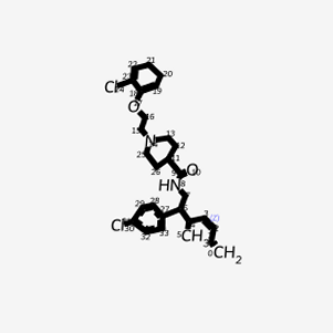 C=C/C=C\C(C)C(CNC(=O)C1CCN(CCOC2=CCCC=C2Cl)CC1)c1ccc(Cl)cc1